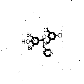 O=C(c1cc(Br)c(O)c(Br)c1)N(Cc1cccnc1)Cc1cc(Cl)cc(Cl)c1